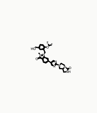 Cn1c(=O)c2ccc(-c3cnc(N4CCN5C(=O)NCC5C4)nc3)cc2n1Cc1cc(CO)ccc1OC(F)F